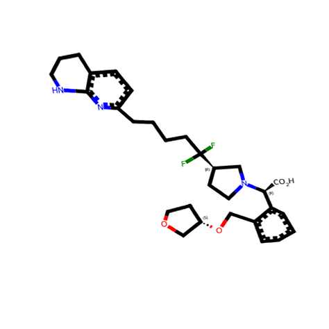 O=C(O)[C@@H](c1ccccc1CO[C@H]1CCOC1)N1CC[C@@H](C(F)(F)CCCCc2ccc3c(n2)NCCC3)C1